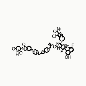 CCc1c(F)ccc2cc(O)cc(-c3ncc4c(N5CCCn6nc(C(=O)N(C)C)c(Cl)c6C5)nc(OCC5(CN6CCC7(CC6)CC(CN6CCN(c8ccc9c(c8)CN([C@H]8CCC(=O)NC8=O)C9=O)CC6)C7)CC5)nc4c3F)c12